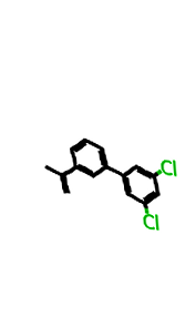 C=C(C)c1cccc(-c2cc(Cl)cc(Cl)c2)c1